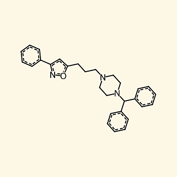 c1ccc(-c2cc(CCCN3CCN(C(c4ccccc4)c4ccccc4)CC3)on2)cc1